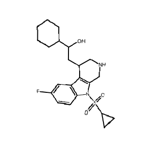 O=S(=O)(C1CC1)n1c2c(c3cc(F)ccc31)C(CC(O)C1CCCCC1)CNC2